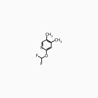 Cc1[c]c(OC(F)F)ncc1C